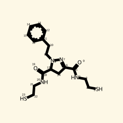 O=C(NCCS)C1=NN(CCc2ccccc2)C(C(=O)NCCS)C1